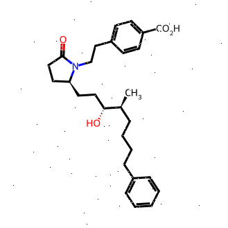 C[C@@H](CCCCc1ccccc1)[C@H](O)CC[C@H]1CCC(=O)N1CCc1ccc(C(=O)O)cc1